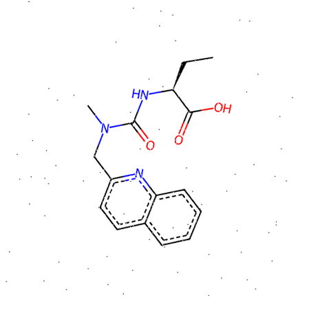 CC[C@H](NC(=O)N(C)Cc1ccc2ccccc2n1)C(=O)O